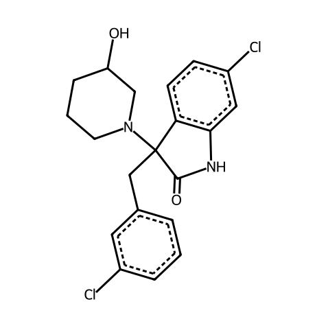 O=C1Nc2cc(Cl)ccc2C1(Cc1cccc(Cl)c1)N1CCCC(O)C1